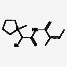 C=C(NC(=C)C(CC)[N+]1(C)CCCC1)/C(C)=C\C